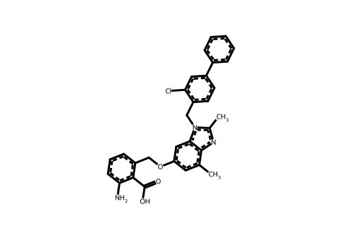 Cc1cc(OCc2cccc(N)c2C(=O)O)cc2c1nc(C)n2Cc1ccc(-c2ccccc2)cc1Cl